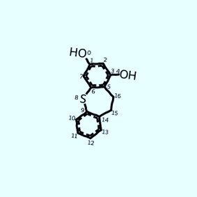 Oc1cc(O)c2c(c1)Sc1ccccc1CC2